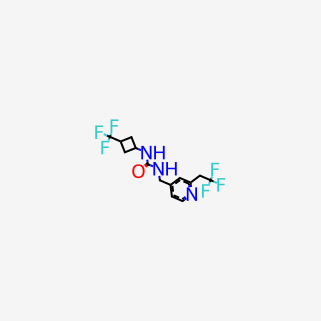 O=C(NCc1ccnc(CC(F)(F)F)c1)NC1CC(C(F)(F)F)C1